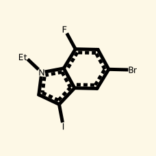 CCn1cc(I)c2cc(Br)cc(F)c21